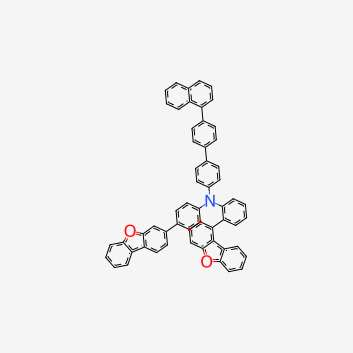 c1ccc(N(c2ccc(-c3ccc(-c4cccc5ccccc45)cc3)cc2)c2ccc(-c3ccc4c(c3)oc3ccccc34)cc2)c(-c2cccc3oc4ccccc4c23)c1